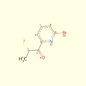 CC(F)C(=O)c1cccc(Br)n1